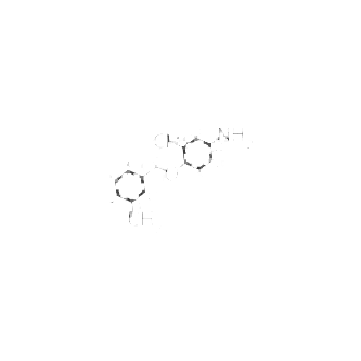 Cc1cccc(COc2ccc(N)cc2Cl)c1